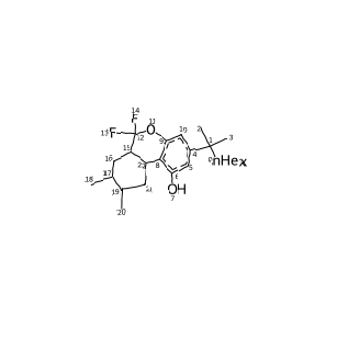 CCCCCCC(C)(C)c1cc(O)c2c(c1)OC(F)(F)C1CC(C)C(C)CC21